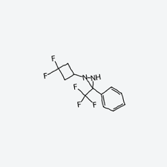 FC1(F)CC(N2NC2(c2ccccc2)C(F)(F)F)C1